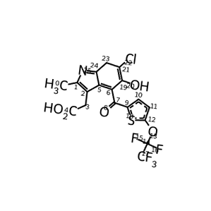 CC1=C(CC(=O)O)C2=C(C(=O)c3ccc(OC(F)(F)C(F)(F)F)s3)C(O)=C(Cl)CC2=N1